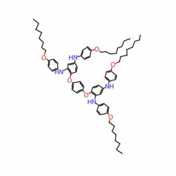 CCCCCCCCOc1ccc(Nc2ccc(Oc3ccc(Oc4ccc(Nc5ccc(OCCCCCCCC)cc5)cc4Nc4ccc(OCCCCCCCC)cc4)cc3)c(Nc3ccc(OCCCCCCCC)cc3)c2)cc1